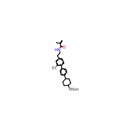 C=C(C)C(=O)NCCc1ccc(-c2ccc(C3CCC(CCCCCCCCC)CC3)cc2)c(CC)c1